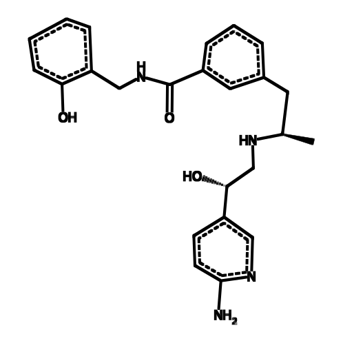 C[C@H](Cc1cccc(C(=O)NCc2ccccc2O)c1)NC[C@@H](O)c1ccc(N)nc1